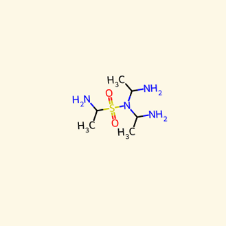 CC(N)N(C(C)N)S(=O)(=O)C(C)N